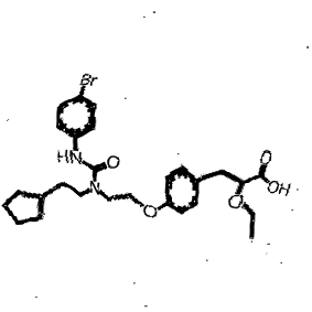 CCOC(Cc1ccc(OCCN(CCC2CCCC2)C(=O)Nc2ccc(Br)cc2)cc1)C(=O)O